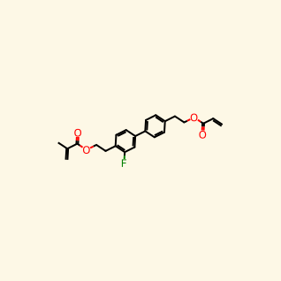 C=CC(=O)OCCc1ccc(-c2ccc(CCOC(=O)C(=C)C)c(F)c2)cc1